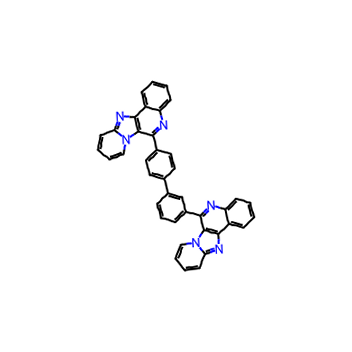 c1cc(-c2ccc(-c3nc4ccccc4c4nc5ccccn5c34)cc2)cc(-c2nc3ccccc3c3nc4ccccn4c23)c1